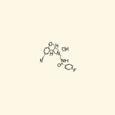 Cl.N#Cc1ccc2c(c1)[C@H]1CN(CCNC(=O)c3ccc(F)cc3)C[C@@H]1CO2